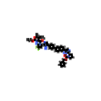 COC(=O)N[C@H](C(=O)N1CC(F)(F)C[C@H]1c1ncc(-c2ccc(-c3ccc4cc(-c5cnc([C@@H]6CCCN6C(=O)OCc6ccccc6)[nH]5)ccc4c3)cc2)[nH]1)C(C)C